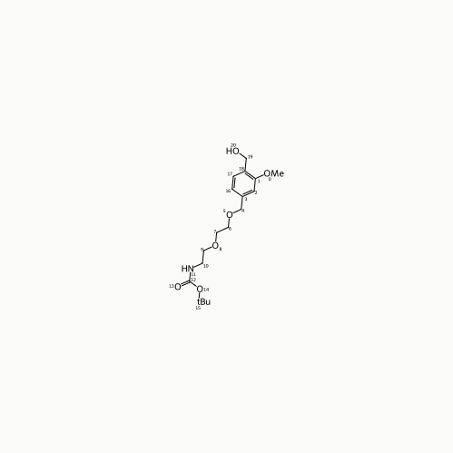 COc1cc(COCCOCCNC(=O)OC(C)(C)C)ccc1CO